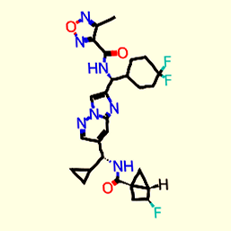 Cc1nonc1C(=O)N[C@H](c1cn2ncc([C@H](NC(=O)[C@@]34C[C@@H]3[C@@H](F)C4)C3CC3)cc2n1)C1CCC(F)(F)CC1